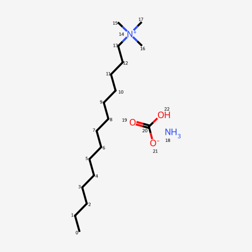 CCCCCCCCCCCCCC[N+](C)(C)C.N.O=C([O-])O